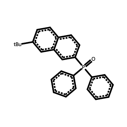 CC(C)(C)c1ccc2ccc(P(=O)(c3ccccc3)c3ccccc3)cc2c1